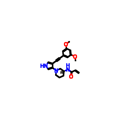 C=CC(=O)N[C@H]1CCCN(c2c[nH]cc2C#Cc2cc(OC)cc(OC)c2)C1